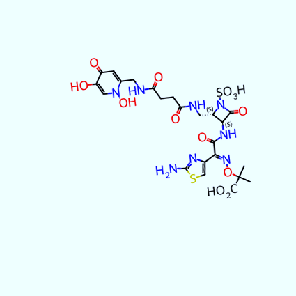 CC(C)(ON=C(C(=O)N[C@@H]1C(=O)N(S(=O)(=O)O)[C@H]1CNC(=O)CCC(=O)NCc1cc(=O)c(O)cn1O)c1csc(N)n1)C(=O)O